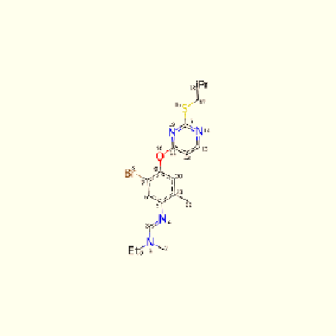 CCN(C)/C=N/c1cc(Br)c(Oc2ccnc(SCC(C)C)n2)cc1C